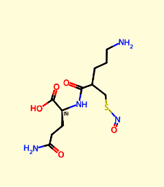 NCCCC(CSN=O)C(=O)N[C@@H](CCC(N)=O)C(=O)O